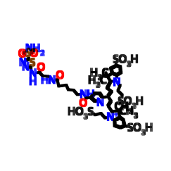 CC1(C)C(=CC=C(/C=C/C2=[N+](CCCS(=O)(=O)O)c3ccc(S(=O)(=O)O)cc3C2(C)C)c2ccc(C(=O)NCCCCCC(=O)NCCC(=O)Nc3nnc(S(N)(=O)=O)s3)cn2)N(CCCS(=O)(=O)O)c2ccc(S(=O)(=O)O)cc21